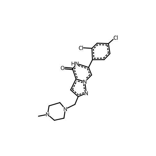 CN1CCN(Cc2cc3c(=O)[nH]c(-c4ccc(Cl)cc4Cl)cn3n2)CC1